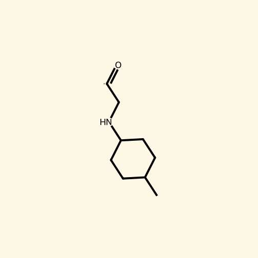 CC1CCC(NC[C]=O)CC1